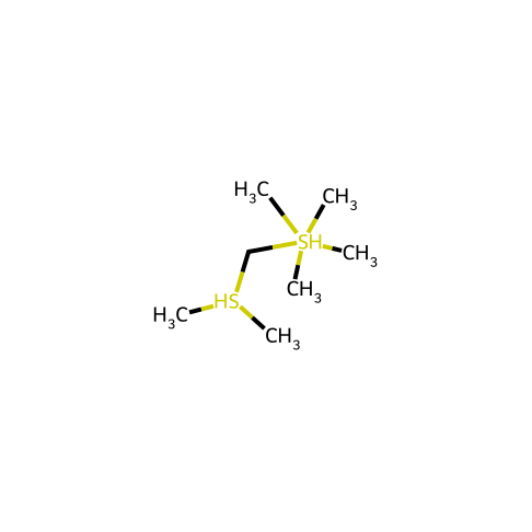 C[SH](C)C[SH](C)(C)(C)C